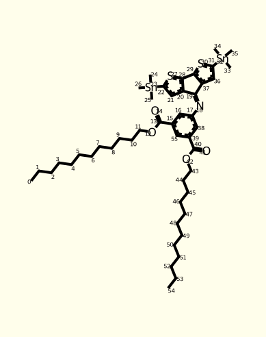 CCCCCCCCCCCCOC(=O)c1cc(N=C2c3c[c]([Sn]([CH3])([CH3])[CH3])sc3-c3s[c]([Sn]([CH3])([CH3])[CH3])cc32)cc(C(=O)OCCCCCCCCCCCC)c1